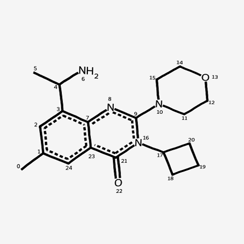 Cc1cc(C(C)N)c2nc(N3CCOCC3)n(C3CCC3)c(=O)c2c1